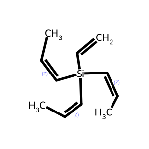 C=C[Si](/C=C\C)(/C=C\C)/C=C\C